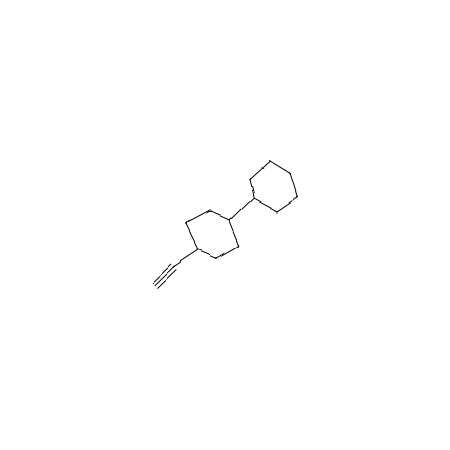 C#CC1CCC(C2CCCCC2)CC1